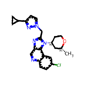 C[C@@H]1C[C@H](n2c(Cn3ccc(C4CC4)n3)nc3cnc4ccc(Cl)cc4c32)CCO1